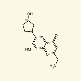 Cl.NCc1cc(=O)c2cc(N3CC[C@H](O)C3)ccc2o1